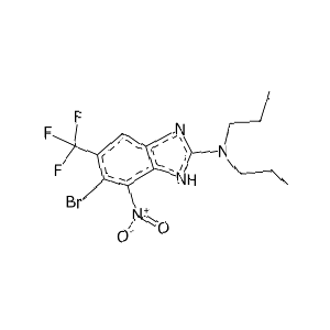 CCCN(CCC)c1nc2cc(C(F)(F)F)c(Br)c([N+](=O)[O-])c2[nH]1